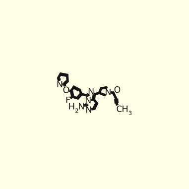 CC#CC(=O)N1CCC(c2nc(-c3ccc(Oc4ccccn4)c(F)c3)n3c(N)nccc23)C1